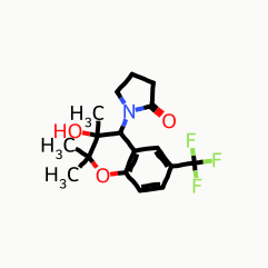 CC1(C)Oc2ccc(C(F)(F)F)cc2C(N2CCCC2=O)C1(C)O